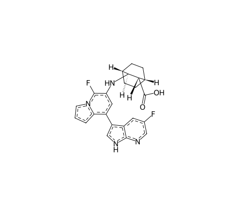 O=C(O)[C@H]1[C@H]2CC[C@H](CC2)[C@@H]1Nc1cc(-c2c[nH]c3ncc(F)cc23)c2cccn2c1F